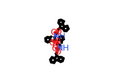 O=C(N[C@@H](Cc1ccccc1)C(=O)OC(=O)[C@H](Cc1ccccc1)NC(=O)OCC1c2ccccc2-c2ccccc21)OCC1c2ccccc2-c2ccccc21